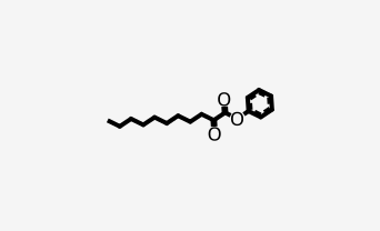 CCCCCCCCCC(=O)C(=O)Oc1ccccc1